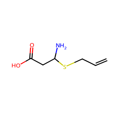 C=CCSC(N)CC(=O)O